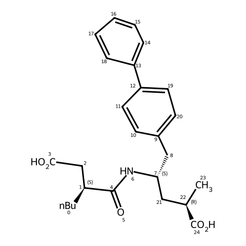 CCCC[C@@H](CC(=O)O)C(=O)N[C@H](Cc1ccc(-c2ccccc2)cc1)C[C@@H](C)C(=O)O